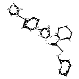 O=C(COc1ccccc1)N1CCCCC1c1noc(-c2ccc(-n3cnnn3)cc2)n1